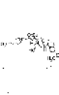 Cc1ncsc1-c1ccc([C@H](C)NC(=O)[C@@H]2C[C@@H](O)CN2C(=O)[C@@H](NC(=O)CCN2CCC(CCC(=O)O)CC2)C(C)(C)C)cc1